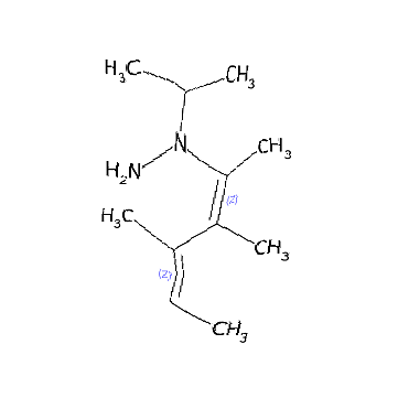 C/C=C(C)\C(C)=C(\C)N(N)C(C)C